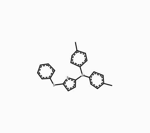 Cc1ccc([S+](c2ccc(C)cc2)c2ccc(Sc3ccccc3)s2)cc1